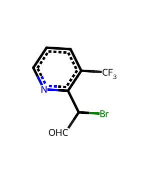 O=CC(Br)c1ncccc1C(F)(F)F